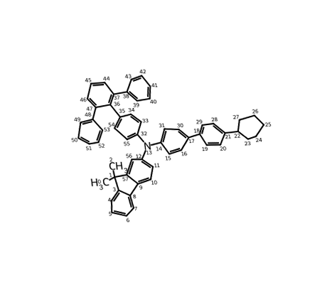 CC1(C)c2ccccc2-c2ccc(N(c3ccc(-c4ccc(C5CCCCC5)cc4)cc3)c3ccc(-c4c(-c5ccccc5)cccc4-c4ccccc4)cc3)cc21